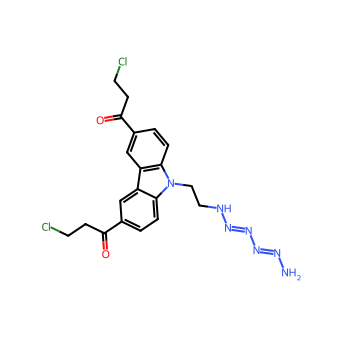 NN=NN=NNCCn1c2ccc(C(=O)CCCl)cc2c2cc(C(=O)CCCl)ccc21